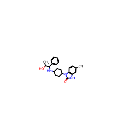 CC(O)C(NC1CCC(n2c(=O)[nH]c3cc(C#N)ccc32)CC1)c1ccccc1